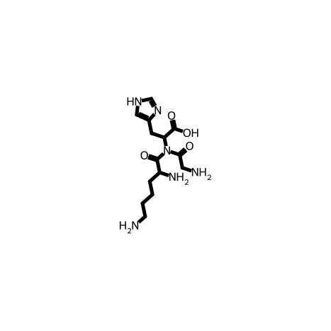 NCCCCC(N)C(=O)N(C(=O)CN)C(Cc1c[nH]cn1)C(=O)O